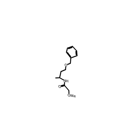 COCC(=O)NC(C)CCOCc1ccccc1